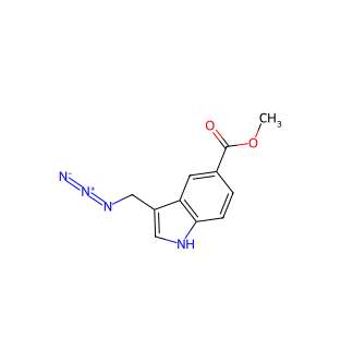 COC(=O)c1ccc2[nH]cc(CN=[N+]=[N-])c2c1